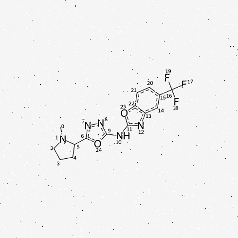 CN1CCCC1c1nnc(Nc2nc3cc(C(F)(F)F)ccc3o2)o1